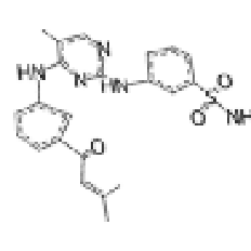 CC(C)=CC(=O)c1cccc(Nc2nc(Nc3cccc(S(N)(=O)=O)c3)ncc2C)c1